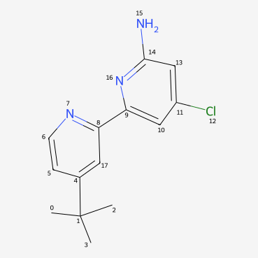 CC(C)(C)c1ccnc(-c2cc(Cl)cc(N)n2)c1